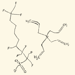 C=CC[N+](CC=C)(CC=C)CC=C.O=S(=O)([O-])C(F)(F)C(F)(F)C(F)CCCCC(F)(F)F